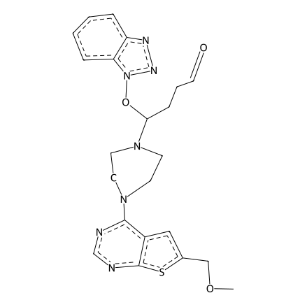 COCc1cc2c(N3CCN(C(CCC=O)On4nnc5ccccc54)CC3)ncnc2s1